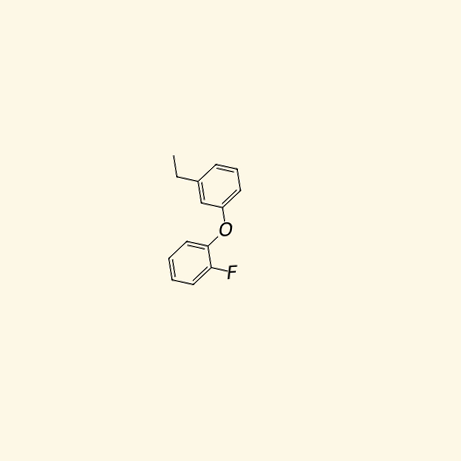 CCc1cccc(Oc2ccccc2F)c1